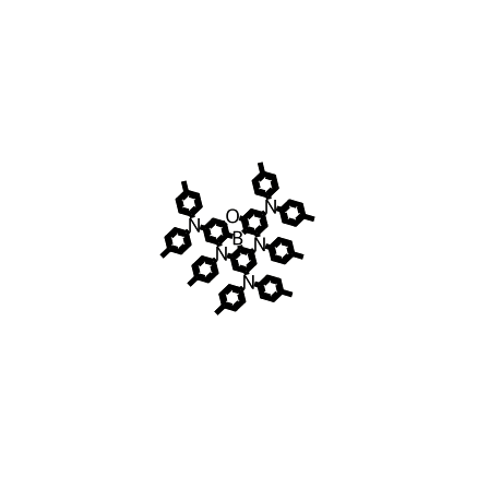 Cc1ccc(N(c2ccc(C)cc2)c2cc3c4c(c2)N(c2ccc(C)cc2)c2cc(N(c5ccc(C)cc5)c5ccc(C)cc5)cc5c2B4c2c(cc(N(c4ccc(C)cc4)c4ccc(C)cc4)cc2N5c2ccc(C)cc2)O3)cc1